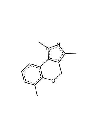 Cc1cccc2c1OCc1c(C)nn(C)c1-2